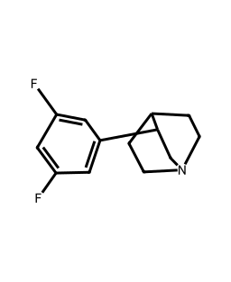 Fc1cc(F)cc(C2CN3CCC2CC3)c1